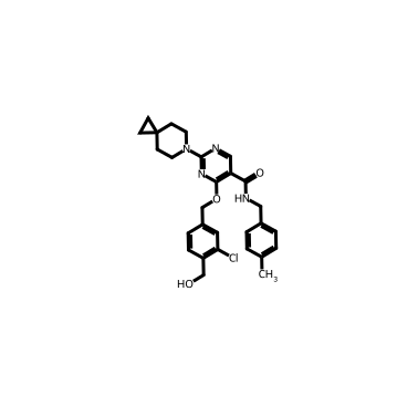 Cc1ccc(CNC(=O)c2cnc(N3CCC4(CC3)CC4)nc2OCc2ccc(CO)c(Cl)c2)cc1